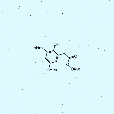 CCCCCCc1cc(CCCCCC)c(O)c(CC(=O)OOC)c1